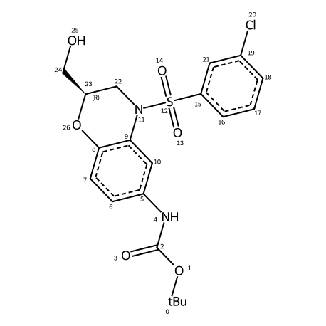 CC(C)(C)OC(=O)Nc1ccc2c(c1)N(S(=O)(=O)c1cccc(Cl)c1)C[C@H](CO)O2